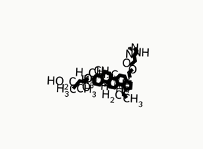 C=C(C)[C@@H]1CC[C@]2(CCOC(=O)Cc3ncn[nH]3)CC[C@]3(C)[C@H](CC[C@@H]4[C@@]5(C)CC[C@H](OC(=O)CC(C)(C)C(=O)O)C(C)(C)[C@@H]5CC[C@]43C)[C@@H]12